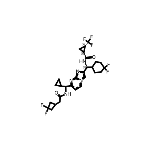 O=C(CC1CC(F)(F)C1)NC(c1ccn2cc([C@@H](NC(=O)[C@H]3C[C@@H]3C(F)(F)F)C3CCC(F)(F)CC3)nc2n1)C1CC1